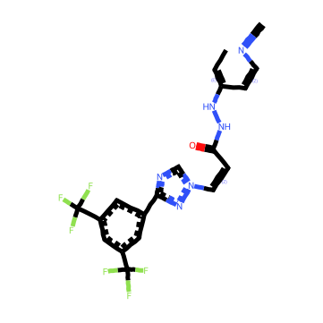 C=N/C=C\C(=C/C)NNC(=O)/C=C\n1cnc(-c2cc(C(F)(F)F)cc(C(F)(F)F)c2)n1